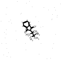 BC(C)(C)C(C)(C)C1C(=O)c2ccccc2C1=O